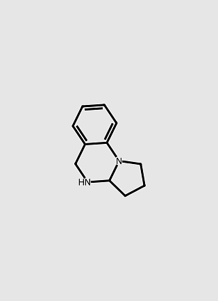 c1ccc2c(c1)CNC1CCCN21